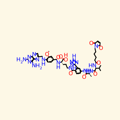 COc1cc(C(=O)N[C@@H](CCCNC(=O)c2ccc(NC(=O)[C@H](C)NC(=O)[C@@H](NC(=O)CCCCCN3C(=O)C=CC3=O)C(C)C)cc2-c2nn[nH]n2)C(=O)O)ccc1NCc1cnc2nc(N)nc(N)c2n1